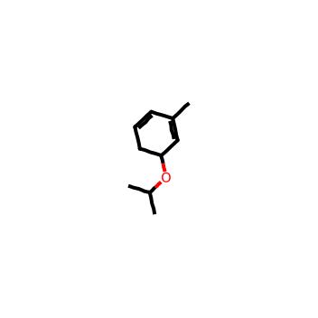 CC1=CC(OC(C)C)CC=C1